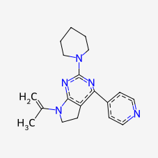 C=C(C)N1CCc2c(-c3ccncc3)nc(N3CCCCC3)nc21